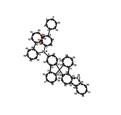 c1ccc(-c2ccc(N(c3ccc4c(c3)-c3ccccc3C43c4ccccc4-c4c3ccc3c4oc4ccccc43)c3ccccc3-c3ccccc3)cc2)cc1